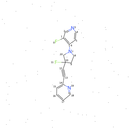 Fc1cnccc1N1CCC(F)(C#Cc2ccccn2)C1